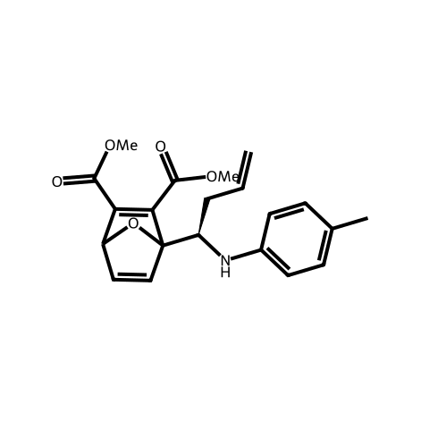 C=CC[C@@H](Nc1ccc(C)cc1)C12C=CC(O1)C(C(=O)OC)=C2C(=O)OC